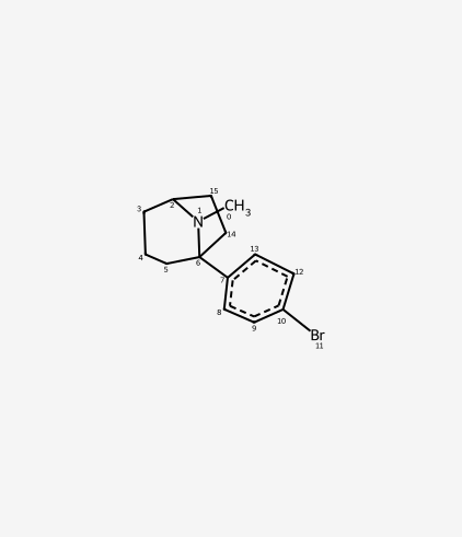 CN1C2CCCC1(c1ccc(Br)cc1)CC2